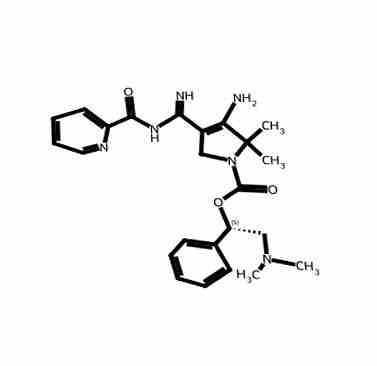 CN(C)C[C@@H](OC(=O)N1CC(C(=N)NC(=O)c2ccccn2)=C(N)C1(C)C)c1ccccc1